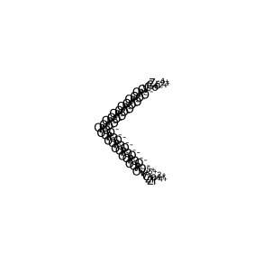 O=P([O-])([O-])[O-].O=P([O-])([O-])[O-].O=P([O-])([O-])[O-].O=P([O-])([O-])[O-].O=P([O-])([O-])[O-].O=P([O-])([O-])[O-].O=P([O-])([O-])[O-].O=P([O-])([O-])[O-].O=P([O-])([O-])[O-].O=P([O-])([O-])[O-].O=P([O-])([O-])[O-].[Co+2].[Co+2].[Co+2].[V+5].[V+5].[V+5].[Zr+4].[Zr+4].[Zr+4]